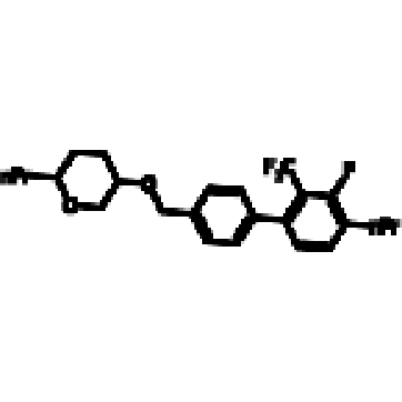 CCCc1ccc(-c2ccc(COC3CCC(CCC)OC3)cc2)c(C(F)(F)F)c1F